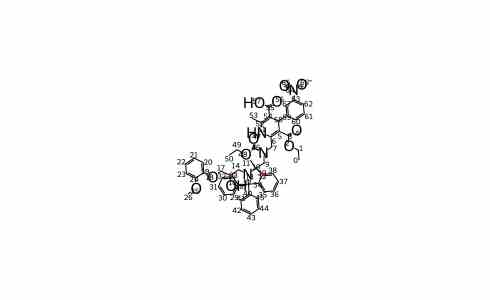 CCOC(=O)C1=C(CN(CC(C)(C)N(CC(O)COc2ccccc2OC)C(c2ccccc2)(c2ccccc2)c2ccccc2)C(=O)OCC)NC(C)=C(C(=O)O)C1c1cccc([N+](=O)[O-])c1